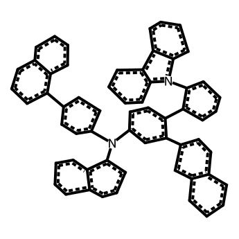 c1ccc(-n2c3ccccc3c3ccccc32)c(-c2ccc(N(c3ccc(-c4cccc5ccccc45)cc3)c3cccc4ccccc34)cc2-c2ccc3ccccc3c2)c1